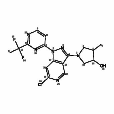 CC1CN(c2nn(-c3ccnc(C(C)(F)F)n3)c3cc(Cl)ncc23)CC1O